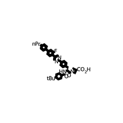 CCCc1ccc(-c2ccc(-c3cnc(-c4ccc(C[C@H](NC(=O)C5CCC(C(C)(C)C)CC5)C(=O)N5CC(C(=O)O)C5)cc4)nc3)c(F)c2)cc1